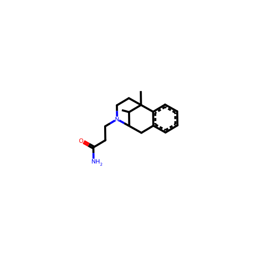 CC1C2Cc3ccccc3C1(C)CCN2CCC(N)=O